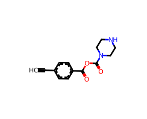 C#Cc1ccc(C(=O)OC(=O)N2CCNCC2)cc1